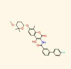 CO[C@@H]1CC[C@H](Oc2ccc3c(O)c(NC(=O)c4cccc(-c5ccc(F)cc5)c4)c(=O)oc3c2C)OC1(C)C